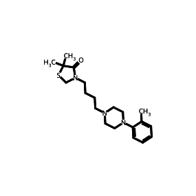 Cc1ccccc1N1CCN(CCCCN2CSC(C)(C)C2=O)CC1